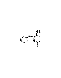 Nc1ccc(F)cc1OC1CCOC1